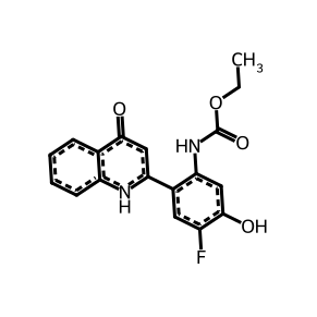 CCOC(=O)Nc1cc(O)c(F)cc1-c1cc(=O)c2ccccc2[nH]1